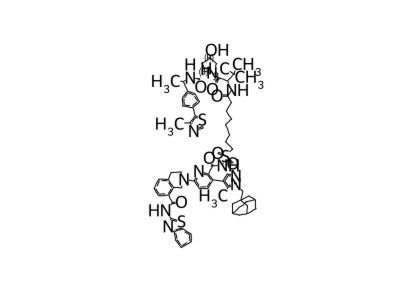 Cc1ncsc1-c1ccc(C(C)NC(=O)[C@@H]2C[C@@H](O)CN2C(=O)C(NC(=O)CCCCCCCS(=O)(=O)NC(=O)c2nc(N3CCc4cccc(C(=O)Nc5nc6ccccc6s5)c4C3)ccc2-c2cnn(CC34CC5CC(CC(C5)C3)C4)c2C)C(C)(C)C)cc1